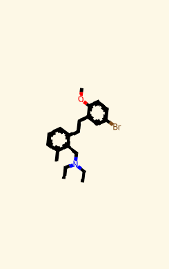 CCN(CC)Cc1c(C)cccc1CCc1cc(Br)ccc1OC